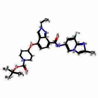 CCn1cc2c(OC3CCN(C(=O)OC(C)(C)C)CC3)ccc(C(=O)Nc3cc(F)c4nc(C)cn4c3)c2n1